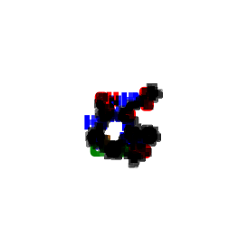 CN1C(=O)[C@H](CCCCNC(=O)OC(C)(C)C)NC(=O)[C@H](CCCO)NCc2cccnc2Sc2c(Cl)ccc(Br)c2CNC(=O)[C@@H]1Cc1cn(C(=O)OC(C)(C)C)c2ccccc12